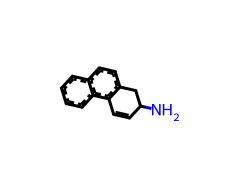 NC1C=Cc2c(ccc3ccccc23)C1